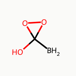 BC1(O)OO1